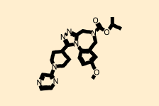 COc1ccc2c(c1)CN(C(=O)OC(C)C)Cc1nnc(C3CCN(c4cnccn4)CC3)n1-2